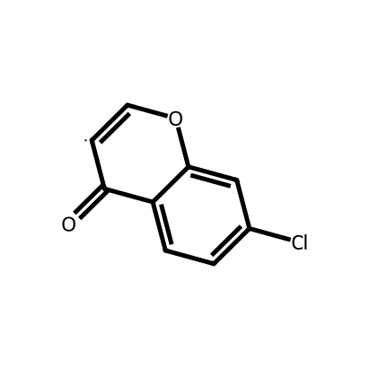 O=c1[c]coc2cc(Cl)ccc12